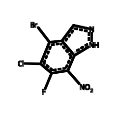 O=[N+]([O-])c1c(F)c(Cl)c(Br)c2cn[nH]c12